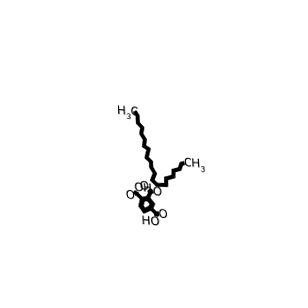 CCCCCCCCCCCCCC(CCCCCCC)OC(=O)c1cc(C(=O)O)ccc1C(=O)O